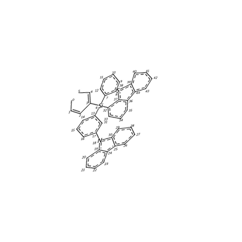 C/C=C\C(=C/C)[Si](c1ccccc1)(c1cccc(-n2c3ccccc3c3ccccc32)c1)c1cccc2c1sc1ccccc12